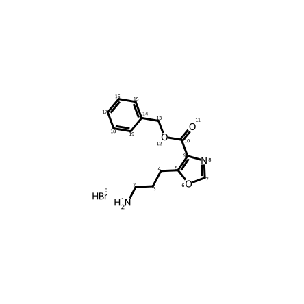 Br.NCCCc1ocnc1C(=O)OCc1ccccc1